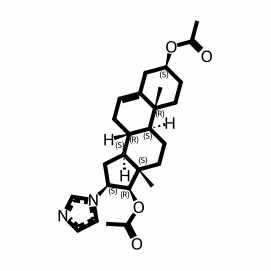 CC(=O)O[C@H]1CC[C@@]2(C)C(=CC[C@H]3[C@@H]4C[C@H](n5ccnc5)[C@H](OC(C)=O)[C@@]4(C)CC[C@@H]32)C1